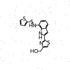 OCc1csc(-c2cc3cccc(NSc4cccs4)c3[nH]2)n1